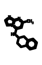 Cc1cc(NC2CCc3ccccc3C2)n2ccnc2n1